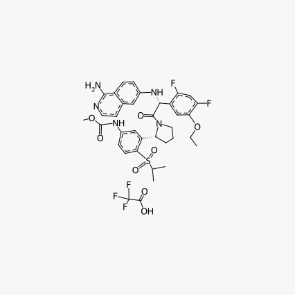 CCOc1cc([C@@H](Nc2ccc3c(N)nccc3c2)C(=O)N2CCC[C@@H]2c2cc(NC(=O)OC)ccc2S(=O)(=O)C(C)C)c(F)cc1F.O=C(O)C(F)(F)F